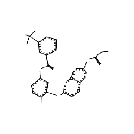 Cc1ccc(NC(=O)c2cccc(C(F)(F)F)c2)cc1Oc1ccc2nc(NC(=O)CO)sc2n1